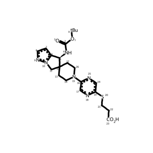 CC(C)(C)OC(=O)N[C@@H]1c2ccnn2CC12CCN(c1cnc(SCCC(=O)O)cn1)CC2